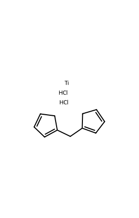 C1=CCC(CC2=CC=CC2)=C1.Cl.Cl.[Ti]